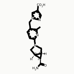 Cc1nc(N2C[C@@H]3[C@H](C2)[C@@H]3C(N)=O)ccc1Cn1cc(C(=O)O)cn1